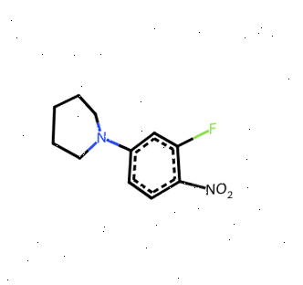 O=[N+]([O-])c1ccc(N2CCCCC2)cc1F